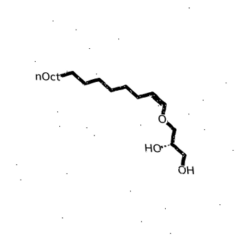 CCCCCCCCCCCCCC/C=C\OC[C@@H](O)CO